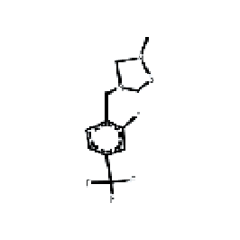 CN1CN(Cc2ccc(C(F)(F)F)cc2F)CS1